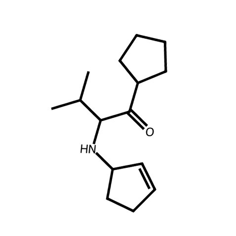 CC(C)C(NC1C=CCC1)C(=O)C1CCCC1